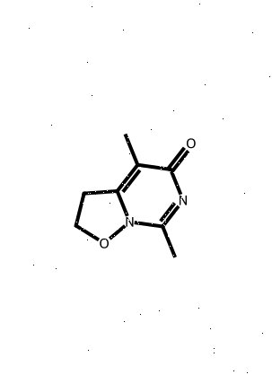 Cc1c2n(c(C)nc1=O)OCC2